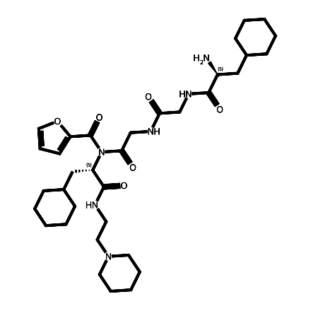 N[C@@H](CC1CCCCC1)C(=O)NCC(=O)NCC(=O)N(C(=O)c1ccco1)[C@@H](CC1CCCCC1)C(=O)NCCN1CCCCC1